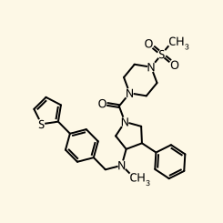 CN(Cc1ccc(-c2cccs2)cc1)C1CN(C(=O)N2CCN(S(C)(=O)=O)CC2)CC1c1ccccc1